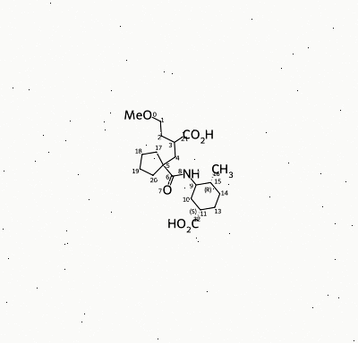 COCCC(CC1(C(=O)NC2C[C@@H](C(=O)O)CC[C@H]2C)CCCC1)C(=O)O